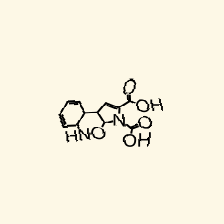 O=C(O)C1=CC2C3C=CC=CC3NOC2N1C(=O)O